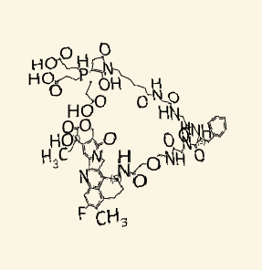 CC[C@@]1(O)C(=O)OCc2c1cc1n(c2=O)Cc2c-1nc1cc(F)c(C)c3c1c2[C@@H](NC(=O)COCNC(=O)CNC(=O)[C@H](Cc1ccccc1)NC(=O)CNC(=O)CNC(=O)CCCCCN1C(=O)CC([PH](CCC(=O)O)(CCC(=O)O)CCC(=O)O)=C1O)CC3